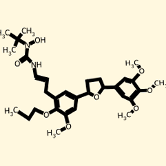 CCCOc1c(CC=CNC(=O)N(O)C(C)(C)C)cc(C2CCC(c3cc(OC)c(OC)c(OC)c3)O2)cc1OC